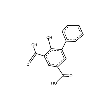 O=C(O)c1cc(C(=O)O)c(O)c(-c2ccccc2)c1